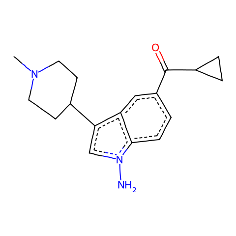 CN1CCC(c2cn(N)c3ccc(C(=O)C4CC4)cc23)CC1